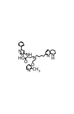 Cc1ncccc1OCCN(CCCCc1ccc2c(n1)NCCC2)CC[C@H](Nc1cc(-c2ccccc2)ncn1)C(=O)O